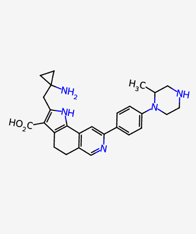 CC1CNCCN1c1ccc(-c2cc3c(cn2)CCc2c-3[nH]c(CC3(N)CC3)c2C(=O)O)cc1